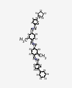 Cc1cc(/N=N/c2ccc(N3CCCC3)s2)ccc1/N=N/c1ccc(/N=N/c2nc(-c3ccccc3)cs2)c(C)c1